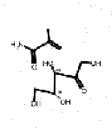 C=C(C)C(N)=O.O=C(CO)[C@H](O)[C@H](O)CO